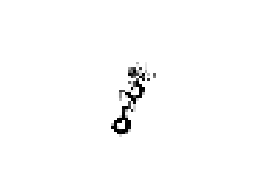 NS(=O)(=O)c1ccc(OCc2ccccc2)c(F)n1